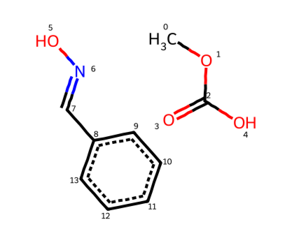 COC(=O)O.ON=Cc1ccccc1